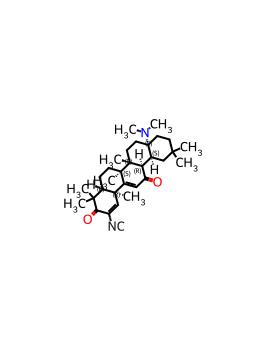 [C-]#[N+]C1=C[C@]2(C)C3=CC(=O)[C@@H]4[C@@H]5CC(C)(C)CC[C@]5(N(C)C)CC[C@@]4(C)[C@]3(C)CC[C@H]2C(C)(C)C1=O